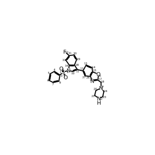 O=S(=O)(c1ccccc1)n1cc(-c2ccc3oc(CN4CCNCC4)nc3c2)c2ccc(F)cc21